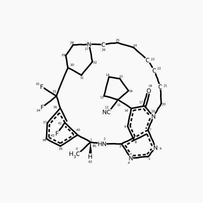 C[C@H]1Nc2ncnc3c2cc(C2(C#N)CCCC2)c(=O)n3CCCCCCCN2CCC(CC2)C(F)(F)c2cccc1c2F